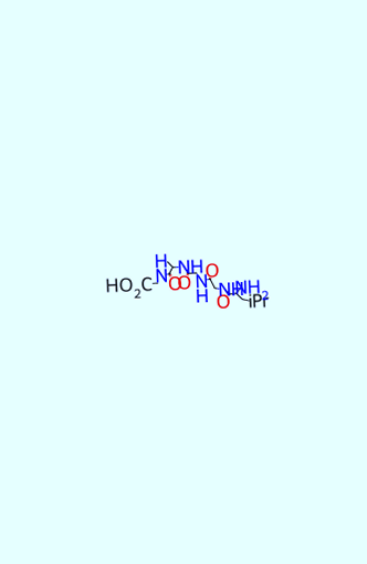 CC(C)CC(N)C(=O)NCC(=O)NCC(=O)NC(C)C(=O)NCC(=O)O